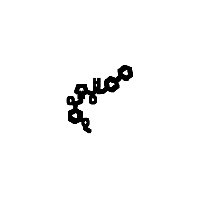 CCOc1cccc(C(=O)CN2CCCC2C(=O)NCc2ccc(-c3ccccc3)cc2)c1